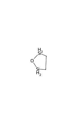 C1C[SiH2]O[SiH2]1